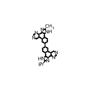 Cc1nc2c3ncncc3c3cc(-c4ccc5c(c4)c4cncnc4c4nc(C(C)C)[nH]c54)ccc3c2[nH]1